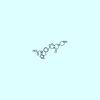 O=C(O)COc1ccc(C(=O)CN2C(=O)CN(C3CCNCC3)CC2=O)cc1Cc1ncc[nH]1